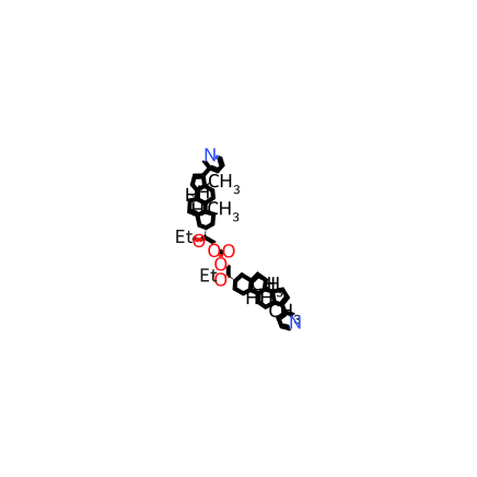 CCOC(COC(=O)OCC(OCC)[C@H]1CC[C@@]2(C)C(=CC[C@@H]3[C@@H]2CC[C@]2(C)C(c4cccnc4)=CC[C@@H]32)C1)[C@H]1CC[C@@]2(C)C(=CC[C@@H]3[C@@H]2CC[C@]2(C)C(c4cccnc4)=CC[C@@H]32)C1